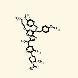 CCCCOc1nc(N(Cc2ccc(OC)cc2)Cc2ccc(OC)cc2)c2ncc(C(O)c3cnc(N4CCN(C(=O)O)[C@@H](C)C4)c(C)c3)n2n1